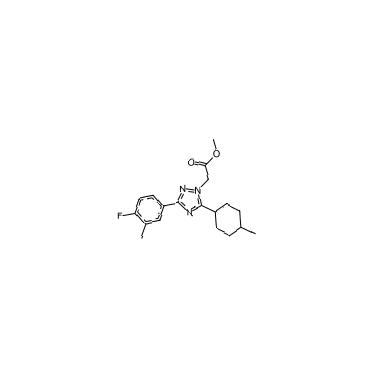 COC(=O)Cn1nc(-c2ccc(F)c(C)c2)nc1C1CCC(C)CC1